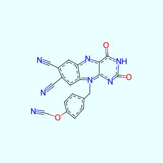 N#COc1ccc(Cn2c3nc(=O)[nH]c(=O)c-3nc3cc(C#N)c(C#N)cc32)cc1